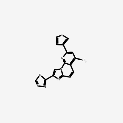 FC(F)(F)c1cc(-c2ccsc2)nc2c1ccc1nc(-c3nnco3)cn12